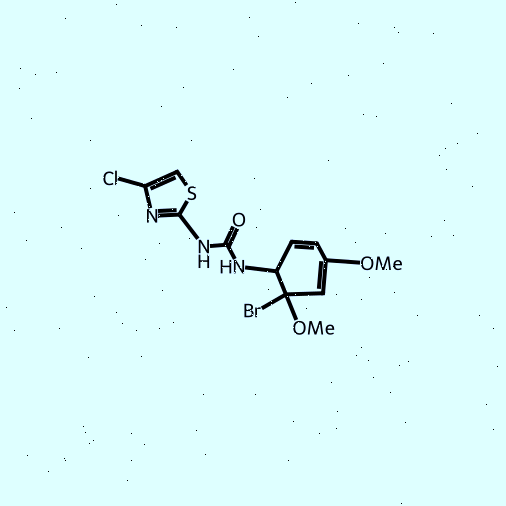 COC1=CC(Br)(OC)C(NC(=O)Nc2nc(Cl)cs2)C=C1